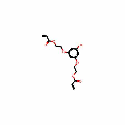 C=CC(=O)OCCOc1cc(O)cc(OCCOC(=O)C=C)c1